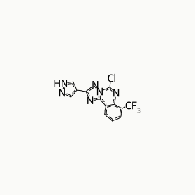 FC(F)(F)c1cccc2c1nc(Cl)n1nc(-c3cn[nH]c3)nc21